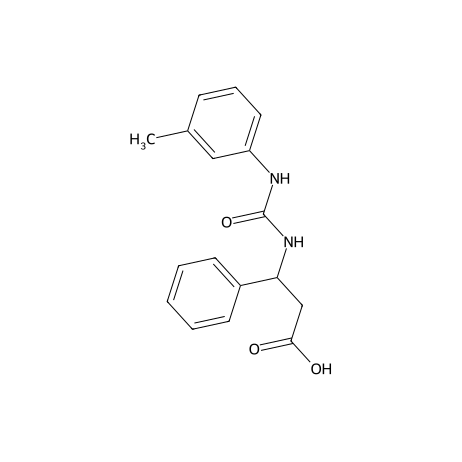 Cc1cccc(NC(=O)NC(CC(=O)O)c2ccccc2)c1